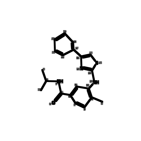 Cc1ccc(C(=O)NC(C)C)cc1Nc1nc(-c2ccccc2)cs1